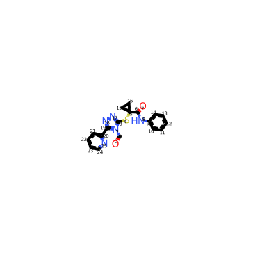 O=Cn1c(SC2(C(=O)Nc3ccccc3)CC2)nnc1-c1ccccn1